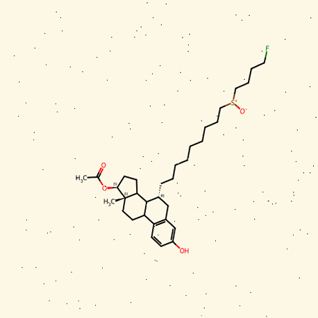 CC(=O)O[C@H]1CCC2C3C(CC[C@@]21C)c1ccc(O)cc1C[C@H]3CCCCCCCCC[S+]([O-])CCCCF